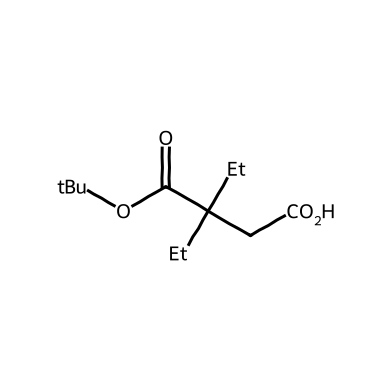 CCC(CC)(CC(=O)O)C(=O)OC(C)(C)C